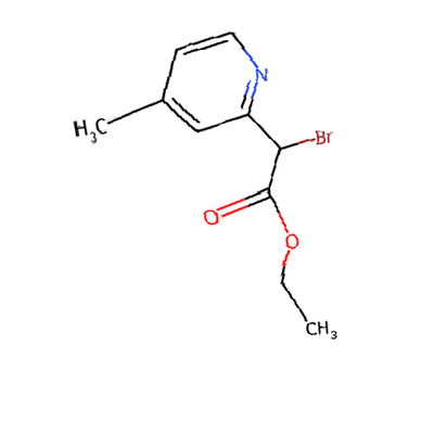 CCOC(=O)C(Br)c1cc(C)ccn1